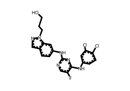 OCCCn1ncc2ccc(Nc3ncc(F)c(Nc4ccc(Cl)c(Cl)c4)n3)cc21